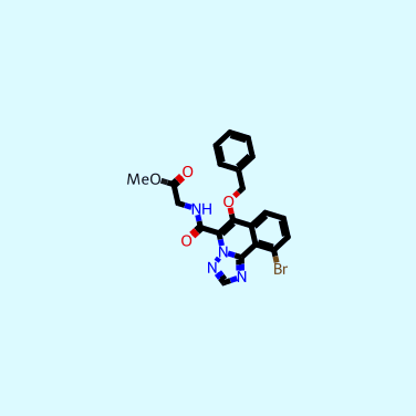 COC(=O)CNC(=O)c1c(OCc2ccccc2)c2cccc(Br)c2c2ncnn12